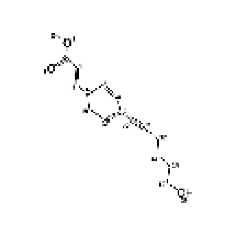 COC(=O)C=CC1C=CC(C#CCCCCO)=CC1